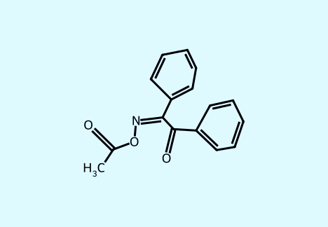 CC(=O)O/N=C(\C(=O)c1ccccc1)c1ccccc1